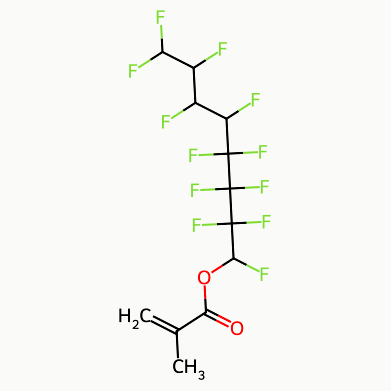 C=C(C)C(=O)OC(F)C(F)(F)C(F)(F)C(F)(F)C(F)C(F)C(F)C(F)F